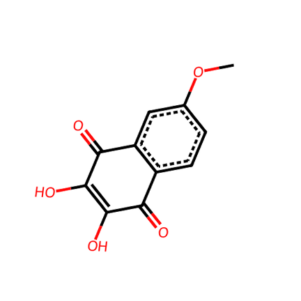 COc1ccc2c(c1)C(=O)C(O)=C(O)C2=O